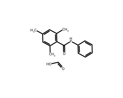 Cc1cc(C)c(C(=O)Pc2ccccc2)c(C)c1.O=CO